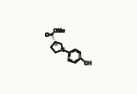 COC(=O)[C@H]1CCN(c2ccc(O)cc2)C1